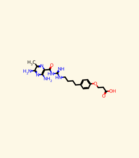 Cc1nc(C(=O)NC(=N)NCCCCc2ccc(OCCC(=O)O)cc2)c(N)nc1N